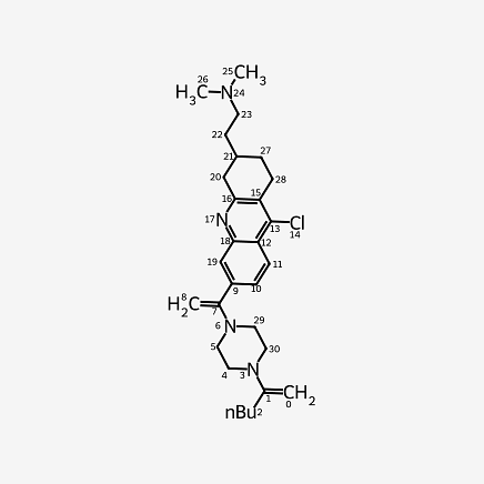 C=C(CCCC)N1CCN(C(=C)c2ccc3c(Cl)c4c(nc3c2)CC(CCN(C)C)CC4)CC1